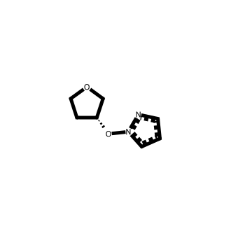 c1cnn(O[C@@H]2CCOC2)c1